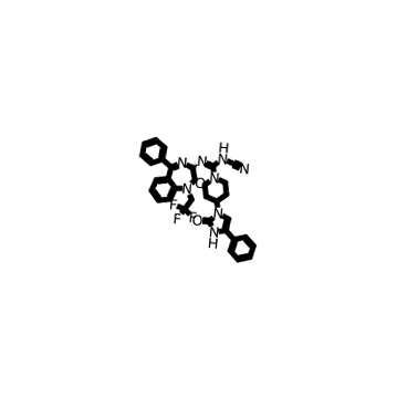 N#CNC(=N[C@H]1N=C(c2ccccc2)c2ccccc2N(CC(F)(F)F)C1=O)N1CCC(n2cc(-c3ccccc3)[nH]c2=O)CC1